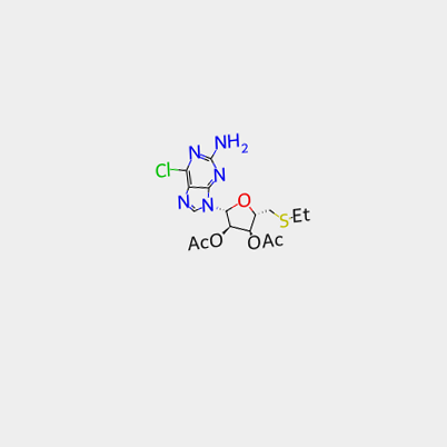 CCSC[C@H]1O[C@@H](n2cnc3c(Cl)nc(N)nc32)[C@H](OC(C)=O)[C@@H]1OC(C)=O